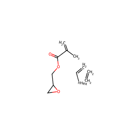 C=C.C=C(C)C(=O)OCC1CO1.C=CCCCCCC